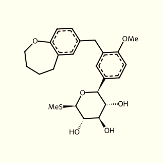 COc1ccc([C@@H]2O[C@H](SC)[C@@H](O)[C@H](O)[C@H]2O)cc1Cc1ccc2c(c1)CCCCO2